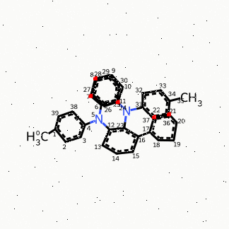 Cc1ccc(N(c2ccccc2)c2cccc(-c3ccccc3)c2N(c2ccccc2)c2ccc(C)cc2)cc1